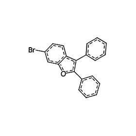 Brc1ccc2c(-c3ccccc3)c(-c3ccccc3)oc2c1